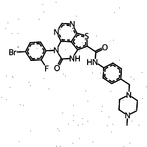 CN1CCN(Cc2ccc(NC(=O)c3sc4ncnc5c4c3NC(=O)N5c3ccc(Br)cc3F)cc2)CC1